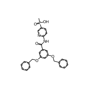 CP(=O)(O)c1ccc(NC(=O)c2cc(OCc3ccccc3)cc(OCc3ccccc3)c2)nc1